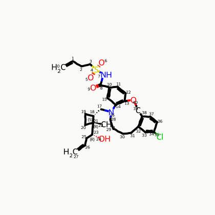 C=CCCS(=O)(=O)NC(=O)c1ccc2c(c1)N(C[C@H]1CC[C@@]1(C)[C@H](O)CC=C)CCCCc1cc(Cl)ccc1CO2